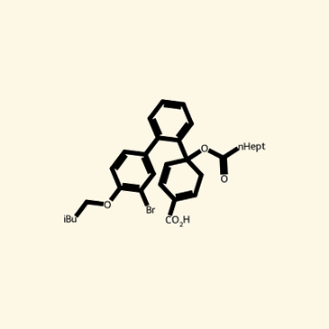 CCCCCCCC(=O)OC1(c2ccccc2-c2ccc(OCC(C)CC)c(Br)c2)C=CC(C(=O)O)=CC1